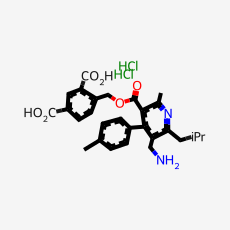 Cc1ccc(-c2c(CN)c(CC(C)C)nc(C)c2C(=O)OCc2ccc(C(=O)O)cc2C(=O)O)cc1.Cl.Cl